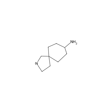 NC1CCC2(CC[N]C2)CC1